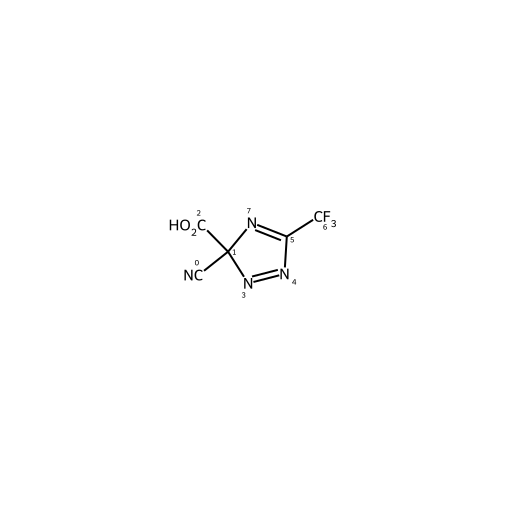 N#CC1(C(=O)O)N=NC(C(F)(F)F)=N1